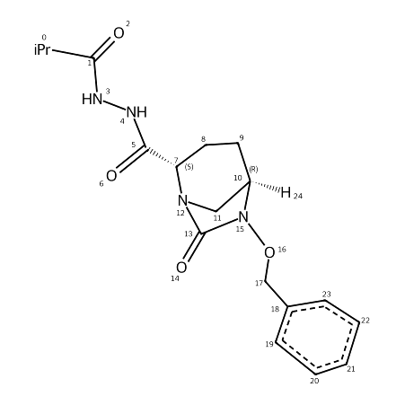 CC(C)C(=O)NNC(=O)[C@@H]1CC[C@@H]2CN1C(=O)N2OCc1ccccc1